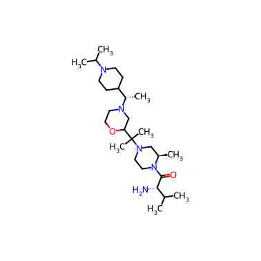 CC(C)[C@H](N)C(=O)N1CCN(C(C)(C)C2CN([C@@H](C)C3CCN(C(C)C)CC3)CCO2)C[C@H]1C